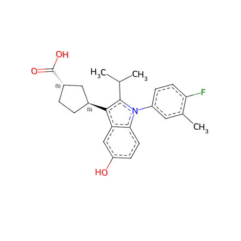 Cc1cc(-n2c(C(C)C)c([C@H]3CC[C@H](C(=O)O)C3)c3cc(O)ccc32)ccc1F